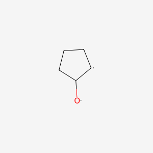 [O]C1[CH]CCC1